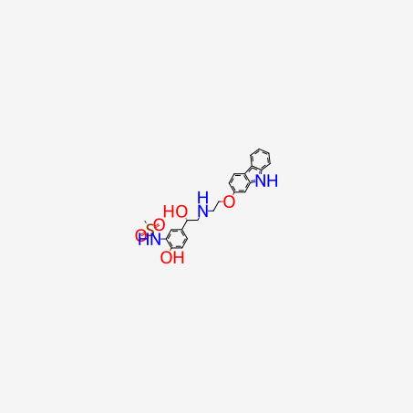 CS(=O)(=O)Nc1cc([C@H](O)CNCCOc2ccc3c(c2)[nH]c2ccccc23)ccc1O